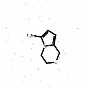 Nc1ccc2n1CCOC2